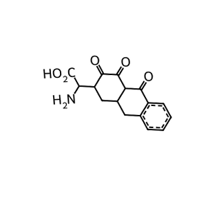 NC(C(=O)O)C1CC2Cc3ccccc3C(=O)C2C(=O)C1=O